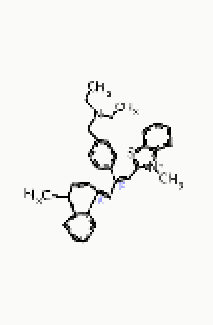 CCN(CC)Cc1ccc(C(=C\c2sc3ccccc3[n+]2C)/C=C2\C=CC(C)c3ccccc32)cc1